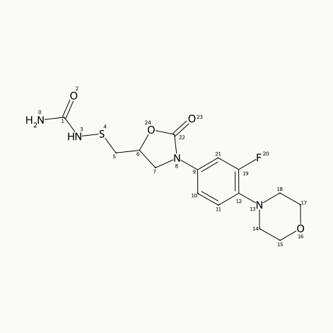 NC(=O)NSCC1CN(c2ccc(N3CCOCC3)c(F)c2)C(=O)O1